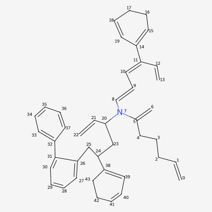 C=CCCCC(=C)N(/C=C/C=C(\C=C)C1=CCCC=C1)C(C=C)CC(Cc1ccccc1-c1ccccc1)C1=CC=CCC1